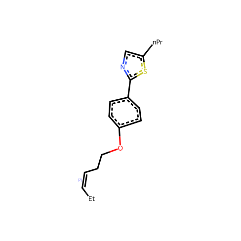 CC/C=C\CCOc1ccc(-c2ncc(CCC)s2)cc1